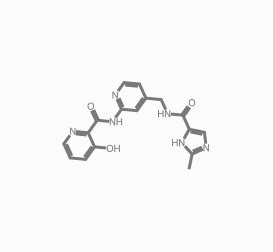 Cc1ncc(C(=O)NCc2ccnc(NC(=O)c3ncccc3O)c2)[nH]1